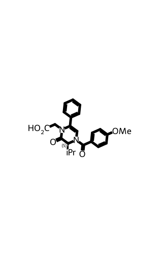 COc1ccc(C(=O)N2C=C(c3ccccc3)N(CC(=O)O)C(=O)[C@@H]2C(C)C)cc1